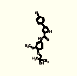 COc1cc(NC(=O)c2cc(-c3ccc(Cl)cc3)c[nH]2)ccc1OCC(C)(C)O